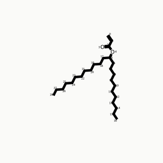 C=CC(=O)OC(CCCCCCCCCCC)CCCCCCCCCCCC